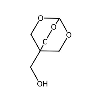 OCC12COC(OC1)OC2